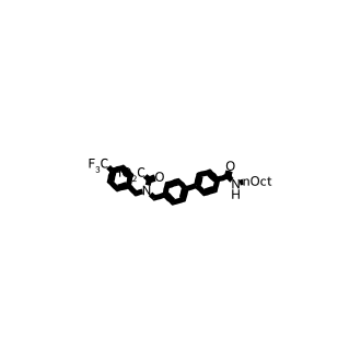 CCCCCCCCNC(=O)c1ccc(-c2ccc(CN(Cc3ccc(C(F)(F)F)cc3)C(=O)C(=O)O)cc2)cc1